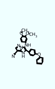 COc1ccc(Nc2c(-c3ccc(Oc4ccccc4)cc3)[nH]c3c(C#N)cnn23)cc1OC